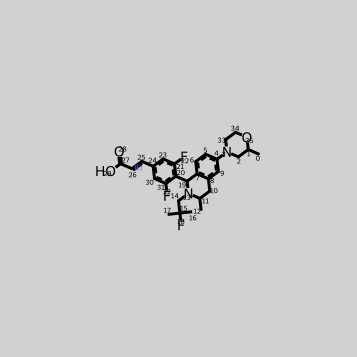 CC1CN(c2ccc3c(c2)CC(C)N(CC(C)(C)F)C3c2c(F)cc(/C=C/C(=O)O)cc2F)CCO1